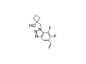 C=Cc1cc2nnn(CC3(O)CCC3)c2c(F)c1F